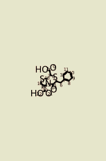 O=C(O)CSC(Cc1ccccc1)C(=O)N1CSC[C@H]1C(=O)O